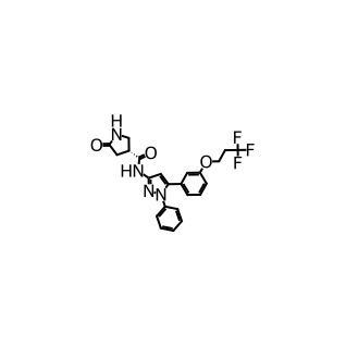 O=C1C[C@@H](C(=O)Nc2cc(-c3cccc(OCCC(F)(F)F)c3)n(-c3ccccc3)n2)CN1